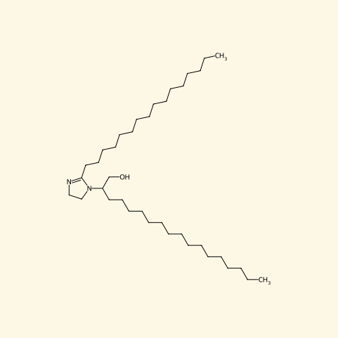 CCCCCCCCCCCCCCCCC1=NCCN1C(CO)CCCCCCCCCCCCCCCC